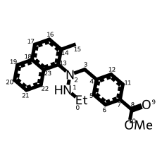 CCNN(Cc1ccc(C(=O)OC)cc1)c1c(C)ccc2ccccc12